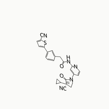 N#Cc1ccc(-c2cccc(CC(=O)Nc3cc(N4CC[C@@](C#N)(C5CC5)C4=O)ccn3)c2)s1